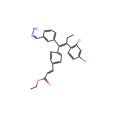 CCOC(=O)/C=C/c1ccc(/C(=C(/CC)c2ccc(Cl)cc2Cl)c2cccc(/C=N\N)c2)cc1